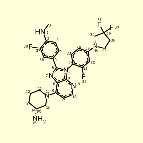 CNc1ccc(-c2nc3c(N4CCC[C@@H](N)C4)ccnc3n2-c2ccc(N3CCC(F)(F)C3)cc2F)cc1F